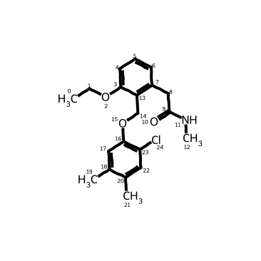 CCOc1cccc(CC(=O)NC)c1COc1cc(C)c(C)cc1Cl